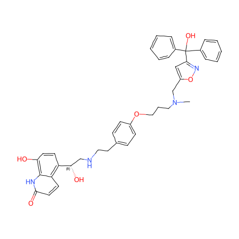 CN(CCCOc1ccc(CCNC[C@H](O)c2ccc(O)c3[nH]c(=O)ccc23)cc1)Cc1cc(C(O)(c2ccccc2)c2ccccc2)no1